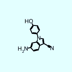 N#Cc1cn(-c2ccc(O)cc2)c2cc(N)ccc12